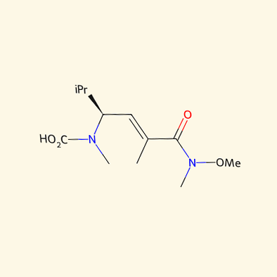 CON(C)C(=O)/C(C)=C/[C@H](C(C)C)N(C)C(=O)O